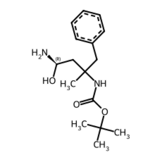 CC(Cc1ccccc1)(C[C@H](N)O)NC(=O)OC(C)(C)C